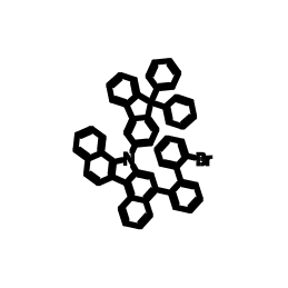 Brc1ccccc1-c1ccccc1-c1cc2c(c3ccccc13)c1ccc3ccccc3c1n2-c1ccc2c(c1)-c1ccccc1C2(c1ccccc1)c1ccccc1